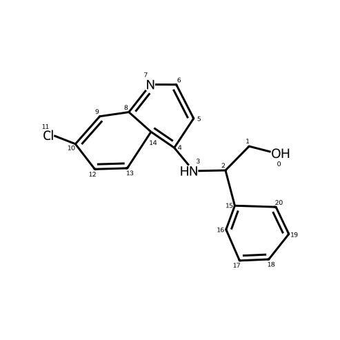 OCC(Nc1ccnc2cc(Cl)ccc12)c1ccccc1